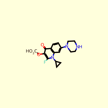 O=C(O)Oc1c(F)n(C2CC2)c2cc(N3CCNCC3)ccc2c1=O